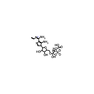 C=C/N=C(/N)c1ncn(C2OC(COP(=O)(O)OP(=O)(O)OP(=O)(O)O)C(O)C2O)c1N